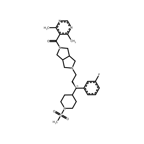 Cc1ncnc(C)c1C(=O)N1CC2CN(CC[C@@H](c3cccc(F)c3)C3CCN(S(C)(=O)=O)CC3)CC2C1